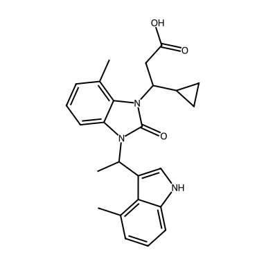 Cc1cccc2[nH]cc(C(C)n3c(=O)n(C(CC(=O)O)C4CC4)c4c(C)cccc43)c12